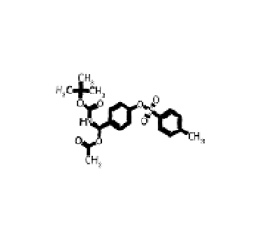 CC(=O)OC(NC(=O)OC(C)(C)C)c1ccc(OS(=O)(=O)c2ccc(C)cc2)cc1